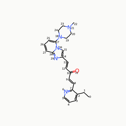 CCc1cccnc1/C=C/C(=O)/C=C/c1cn2c(N3CCN(C)CC3)cccc2n1